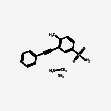 CN.Cc1ccc(S(N)(=O)=O)cc1C#Cc1ccccc1.N